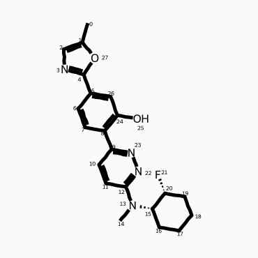 Cc1cnc(-c2ccc(-c3ccc(N(C)[C@H]4CCCC[C@H]4F)nn3)c(O)c2)o1